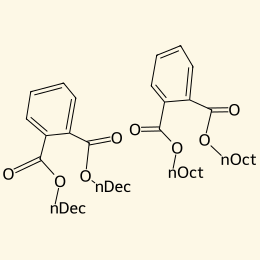 CCCCCCCCCCOC(=O)c1ccccc1C(=O)OCCCCCCCCCC.CCCCCCCCOC(=O)c1ccccc1C(=O)OCCCCCCCC